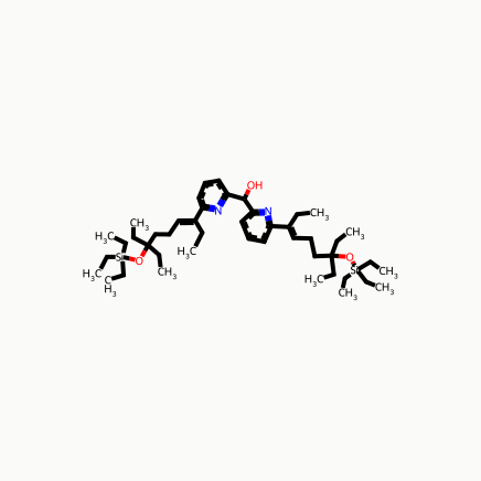 CC/C(=C\CCC(CC)(CC)O[Si](CC)(CC)CC)c1cccc(C(O)c2cccc(/C(=C/CCC(CC)(CC)O[Si](CC)(CC)CC)CC)n2)n1